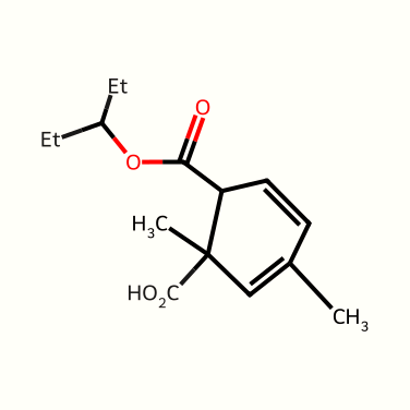 CCC(CC)OC(=O)C1C=CC(C)=CC1(C)C(=O)O